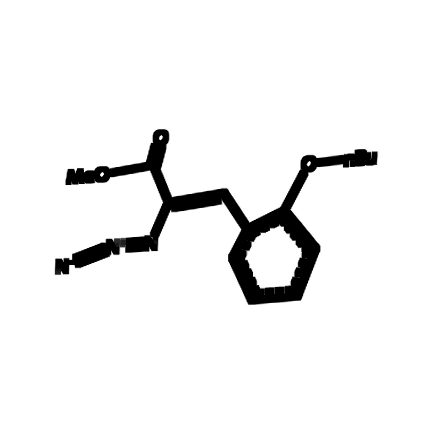 CCCCOc1ccccc1C=C(N=[N+]=[N-])C(=O)OC